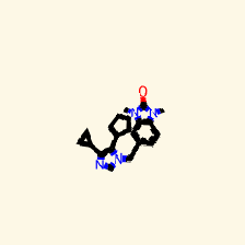 Cn1c(=O)n(C)c2cc(Cn3cnc(C4CC4)c3C3CCCC3)ccc21